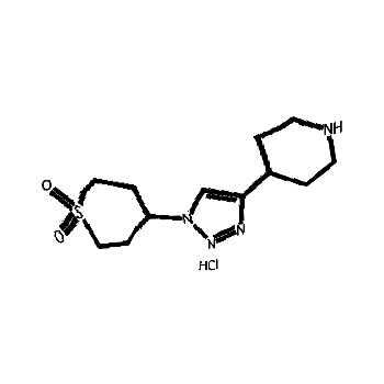 Cl.O=S1(=O)CCC(n2cc(C3CCNCC3)nn2)CC1